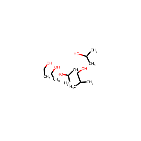 CC(C)CO.CC(C)O.CC(C)O.CCO.CCO